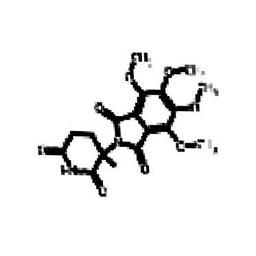 COc1c(OC)c(OC)c2c(c1OC)C(=O)N(C1(F)CCC(=O)NC1=O)C2=O